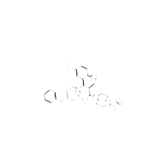 C[S+]([O-])N1CCN(C(=O)c2cnc3ccc(F)cc3c2N2CCC(Cc3ccccc3)CC2)CC1